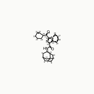 O=C(NC12CC3CC4CC(C1)C4(C3)C2)c1nc(C(=O)C2C=CCCC2)n2ccccc12